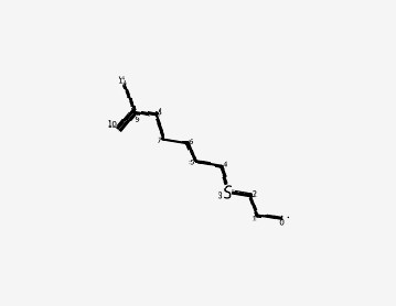 [CH2]CCSCCCCCC(=C)C